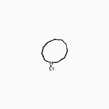 CCN1CCCCCCCCCC1